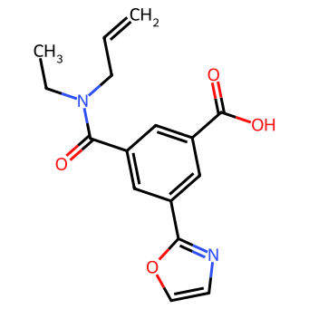 C=CCN(CC)C(=O)c1cc(C(=O)O)cc(-c2ncco2)c1